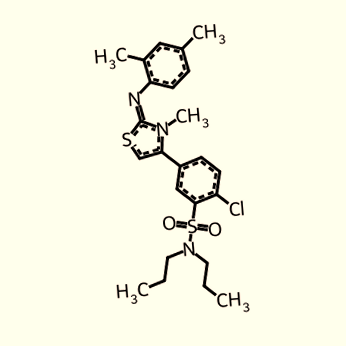 CCCN(CCC)S(=O)(=O)c1cc(-c2csc(=Nc3ccc(C)cc3C)n2C)ccc1Cl